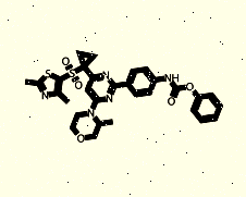 Cc1nc(C)c(S(=O)(=O)C2(c3cc(N4CCOCC4C)nc(-c4ccc(NC(=O)Oc5ccccc5)cc4)n3)CC2)s1